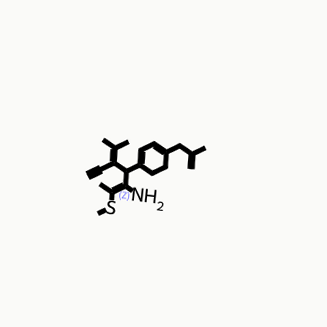 C#CC(=C(C)C)C(C1=CC=C(CC(=C)C)CC1)/C(N)=C(\C)SC